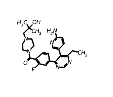 CCc1ncnc(-c2ccc(C(=O)N3CCN(CC(C)(C)O)CC3)c(F)c2)c1-c1ccc(N)nc1